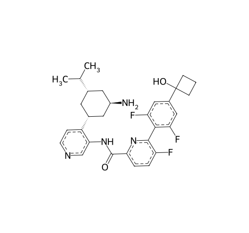 CC(C)[C@@H]1C[C@@H](N)C[C@H](c2ccncc2NC(=O)c2ccc(F)c(-c3c(F)cc(C4(O)CCC4)cc3F)n2)C1